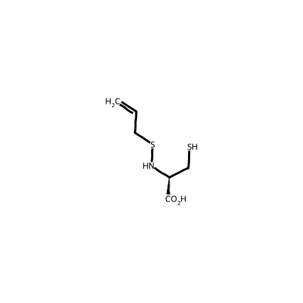 C=CCSN[C@@H](CS)C(=O)O